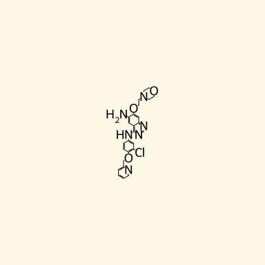 Nc1cc2c(Nc3ccc(OCc4ccccn4)c(Cl)c3)ncnc2cc1OCCN1CCOCC1